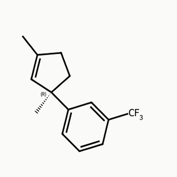 CC1=C[C@](C)(c2cccc(C(F)(F)F)c2)CC1